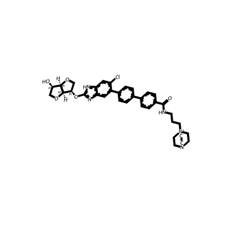 O=C(NCCC[N+]12CCN(CC1)CC2)c1ccc(-c2ccc(-c3cc4nc(O[C@@H]5CO[C@H]6[C@@H]5OC[C@H]6O)[nH]c4cc3Cl)cc2)cc1